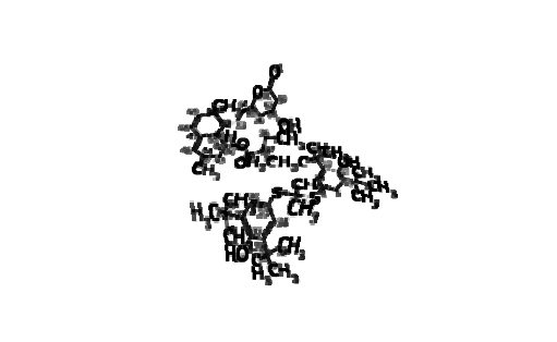 CC(C)(Sc1cc(C(C)(C)C)c(O)c(C(C)(C)C)c1)Sc1cc(C(C)(C)C)c(O)c(C(C)(C)C)c1.CC[C@H](C)C(=O)O[C@H]1C[C@@H](C)C=C2C=C[C@H](C)[C@H](CC[C@@H]3C[C@@H](O)CC(=O)O3)[C@H]21